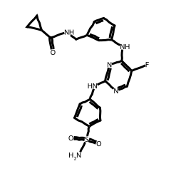 NS(=O)(=O)c1ccc(Nc2ncc(F)c(Nc3cccc(CNC(=O)C4CC4)c3)n2)cc1